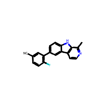 Cc1nccc2c1[nH]c1ccc(-c3cc(C#N)ccc3F)cc12